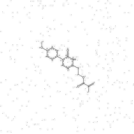 C=C(C)C(=O)OCSc1ncc(-c2ccc(OC)cc2)c(=O)[nH]1